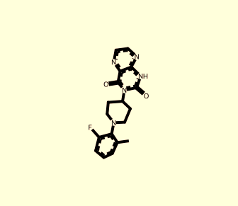 Cc1cccc(F)c1N1CCC(n2c(=O)[nH]c3nccnc3c2=O)CC1